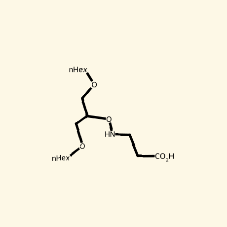 CCCCCCOCC(COCCCCCC)ONCCC(=O)O